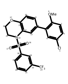 COc1ccc(Cl)cc1-c1ccc2c(c1)N(S(=O)(=O)c1cccc(C(F)(F)F)c1)CCO2